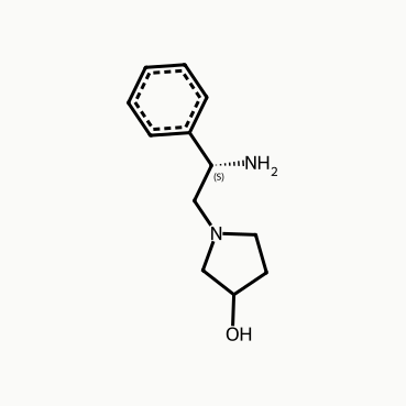 N[C@H](CN1CCC(O)C1)c1ccccc1